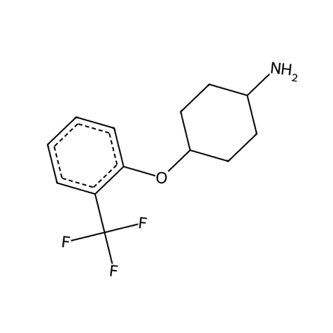 NC1CCC(Oc2ccccc2C(F)(F)F)CC1